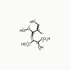 CCCC=C(C)C(=O)OO.O=C(O)CC(O)C(=O)O